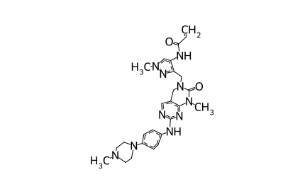 C=CC(=O)Nc1cn(C)nc1CN1Cc2cnc(Nc3ccc(N4CCN(C)CC4)cc3)nc2N(C)C1=O